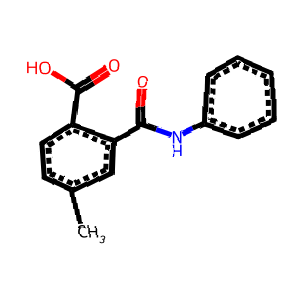 Cc1ccc(C(=O)O)c(C(=O)Nc2ccccc2)c1